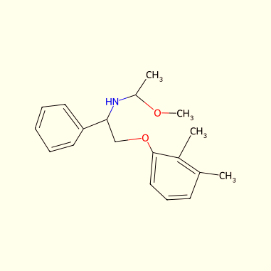 COC(C)NC(COc1cccc(C)c1C)c1ccccc1